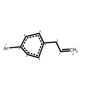 C=CCc1ccc(C(C)=O)cc1